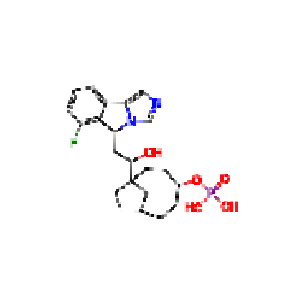 O=P(O)(O)OC1CCC2CCC(C(O)CC3c4c(F)cccc4-c4cncn43)(CC1)C2